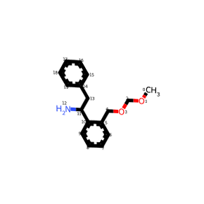 COCOCc1ccccc1C(N)Cc1ccccc1